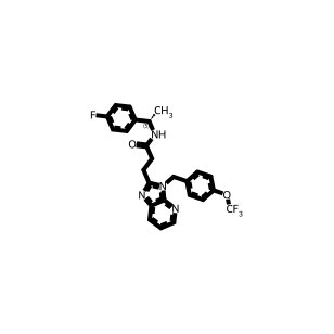 C[C@H](NC(=O)CCc1nc2cccnc2n1Cc1ccc(OC(F)(F)F)cc1)c1ccc(F)cc1